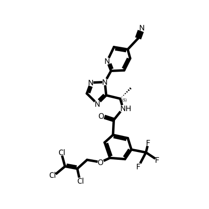 C[C@H](NC(=O)c1cc(OCC(Cl)=C(Cl)Cl)cc(C(F)(F)F)c1)c1ncnn1-c1ccc(C#N)cn1